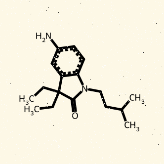 CCC1(CC)C(=O)N(CCC(C)C)c2ccc(N)cc21